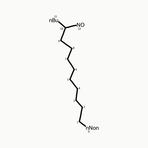 CCCCCCCCCCCCCCCCCCC(CCCC)N=O